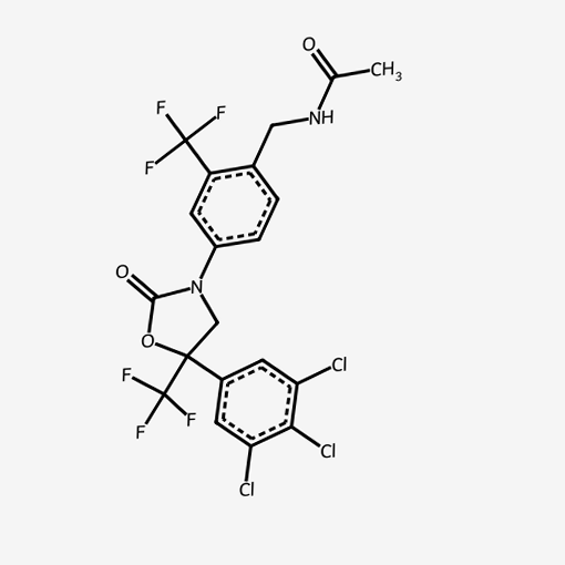 CC(=O)NCc1ccc(N2CC(c3cc(Cl)c(Cl)c(Cl)c3)(C(F)(F)F)OC2=O)cc1C(F)(F)F